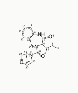 CCC(C)C1C(=O)Nc2ccccc2CN1C(=O)N1C2COCC1C2